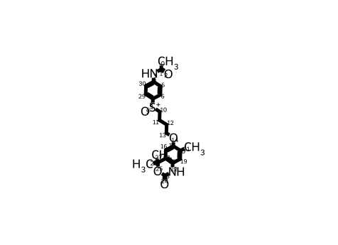 CC(=O)Nc1ccc([S+]([O-])CCCCOc2cc3c(cc2C)NC(=O)OC3(C)C)cc1